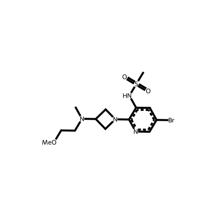 COCCN(C)C1CN(c2ncc(Br)cc2NS(C)(=O)=O)C1